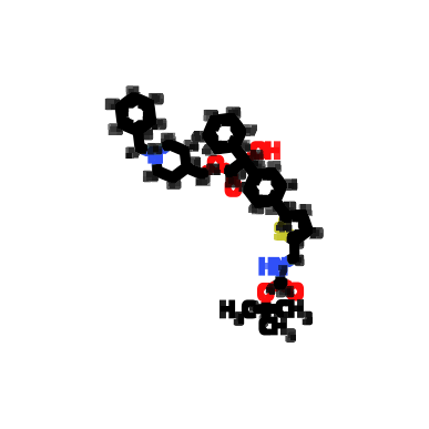 CC(C)(C)OC(=O)NCc1ccc(-c2ccc([C@](O)(C(=O)OCC3CCN(Cc4ccccc4)CC3)c3ccccc3)cc2)s1